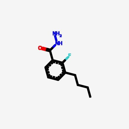 CCCCc1cccc(C(=O)NN)c1F